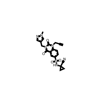 C#CCn1c(=O)n(Cc2cnn(C)c2)c(=O)c2cc(S(=O)(=O)NC3(C#N)CC3)ccc21